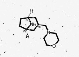 C1CN(C[C@H]2C[C@H]3CC[C@@H](C2)N3)CCO1